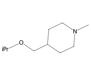 CC(C)OCC1CCN(C)CC1